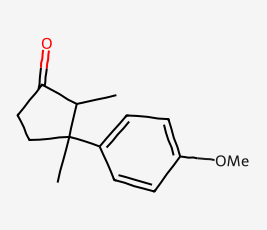 COc1ccc(C2(C)CCC(=O)C2C)cc1